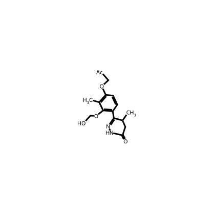 CC(=O)COc1ccc(C2=NNC(=O)CC2C)c(OCO)c1C